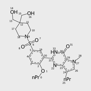 CCCOc1ccc(S(=O)(=O)N2CCC(CO)(CO)CC2)cc1-c1nc2c(CCC)cn(C)c2c(=O)[nH]1